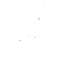 C=C(/C=C(\C=C/C)C(=O)OC)[C@@H]1C[C@H](CN[C@H](C)c2cccc3ccccc23)Oc2ccccc21